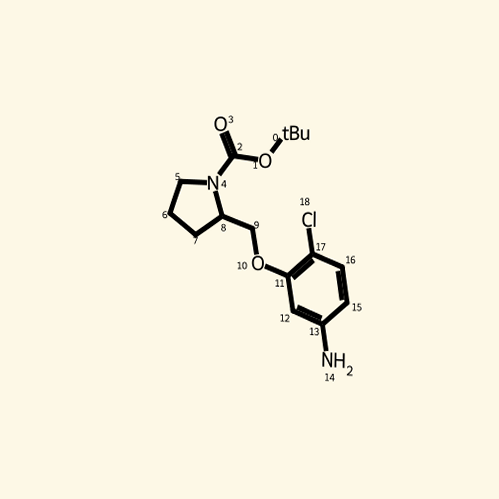 CC(C)(C)OC(=O)N1CCCC1COc1cc(N)ccc1Cl